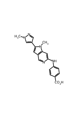 Cn1cc(-c2cc3cnc(Nc4ccc(C(=O)O)cc4)cc3n2C)cn1